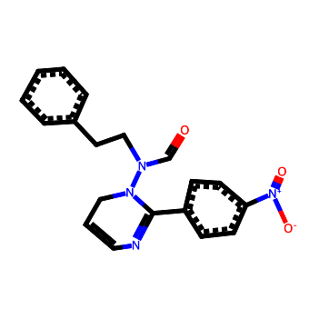 O=CN(CCc1ccccc1)N1CC=CN=C1c1ccc([N+](=O)[O-])cc1